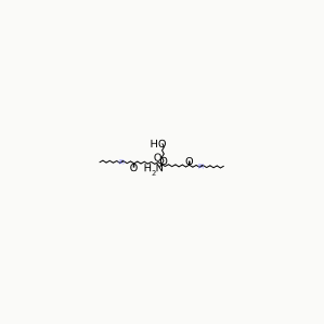 CCCCCC/C=C/CCC(=O)CCCCCCCC(N)(CCCCCCCC(=O)CC/C=C/CCCCCC)OC(=O)CCCO